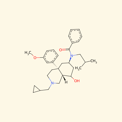 COc1cccc([C@@]23CCN(CC4CC4)C[C@H]2C(O)C[C@H](N(CC(C)C)C(=O)c2ccccc2)C3)c1